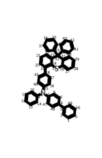 c1ccc(-c2ccc(N(c3ccccc3)c3ccc(-c4cccc5c4Sc4ccccc4C5(c4ccccc4)c4ccccc4)cc3)cc2)cc1